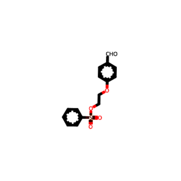 O=Cc1ccc(OCCOS(=O)(=O)c2ccccc2)cc1